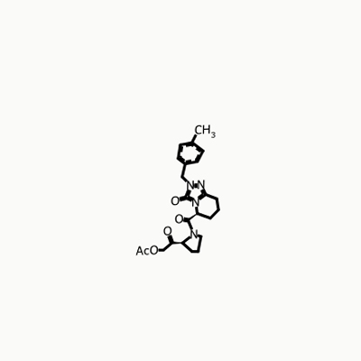 CC(=O)OCC(=O)[C@@H]1CCCN1C(=O)[C@@H]1CCCc2nn(Cc3ccc(C)cc3)c(=O)n21